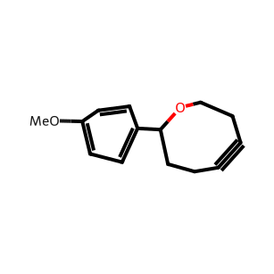 COc1ccc(C2CCC#CCCO2)cc1